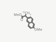 COC(=O)C([11CH3])c1ccc2cc(OC)ccc2c1